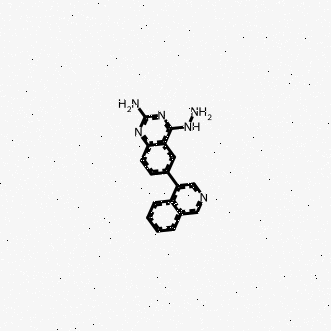 NNc1nc(N)nc2ccc(-c3cncc4ccccc34)cc12